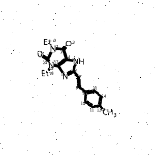 CCn1c(=O)c2[nH]c(C=Cc3ccc(C)cc3)nc2n(CC)c1=O